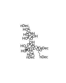 CCCCCCCCCCCCCC(=O)O[C@H](CCCCCCCCCCC)CC(=O)N[C@H]1C(OC(=O)C[C@H](O)CCCCCCCCCCC)[C@H](OP(C)(=O)O)C(CO)O[C@H]1OCC1O[C@H](O)C(NC(=O)C[C@H](O)CCCCCCCCCCC)[C@@H](O)[C@@H]1O